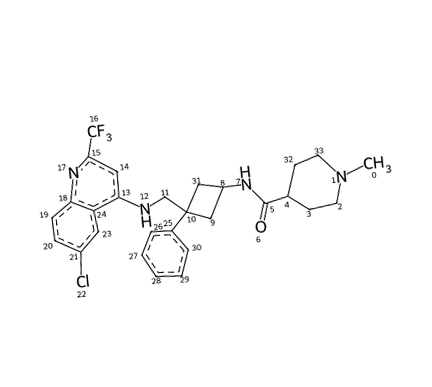 CN1CCC(C(=O)NC2CC(CNc3cc(C(F)(F)F)nc4ccc(Cl)cc34)(c3ccccc3)C2)CC1